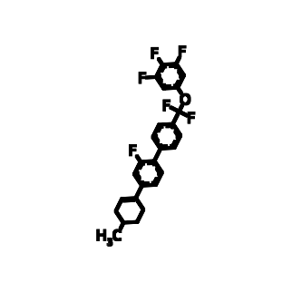 CC1CC=C(c2ccc(-c3ccc(C(F)(F)Oc4cc(F)c(F)c(F)c4)cc3)c(F)c2)CC1